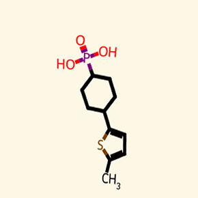 Cc1ccc(C2CCC(P(=O)(O)O)CC2)s1